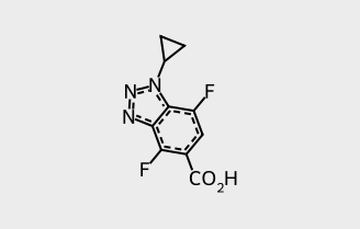 O=C(O)c1cc(F)c2c(nnn2C2CC2)c1F